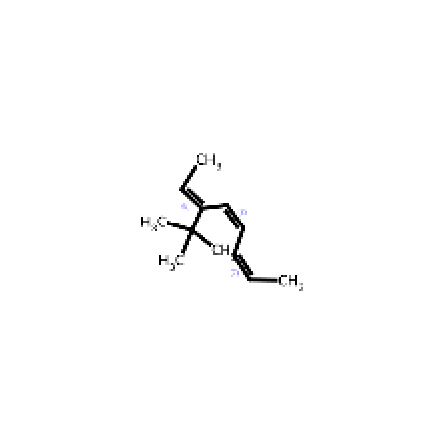 C\C=C/C=C\C(=C/C)C(C)(C)C